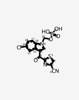 N#Cc1csc(C(=O)c2cn(COP(=O)(O)O)c3ccc(Cl)cc23)n1